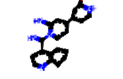 N=C(c1ccnc2ccccc12)n1ccc(-c2cc[nH]c(=O)c2)cc1=N